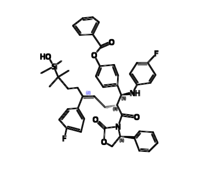 CC(C)(CC/C(=C/C[C@@H](C(=O)N1C(=O)OC[C@@H]1c1ccccc1)[C@H](Nc1ccc(F)cc1)c1ccc(OC(=O)c2ccccc2)cc1)c1ccc(F)cc1)[Si](C)(C)O